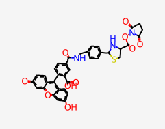 O=C(NCc1ccc(C2NC(C(=O)ON3C(=O)CCC3=O)CS2)cc1)c1ccc(-c2c3ccc(=O)cc-3oc3cc(O)ccc23)c(C(=O)O)c1